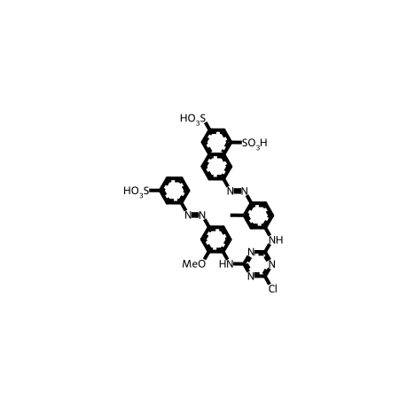 COc1cc(/N=N/c2cccc(S(=O)(=O)O)c2)ccc1Nc1nc(Cl)nc(Nc2ccc(/N=N/c3ccc4cc(S(=O)(=O)O)cc(S(=O)(=O)O)c4c3)c(C)c2)n1